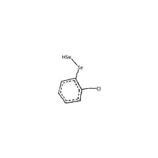 Clc1ccccc1[Se][SeH]